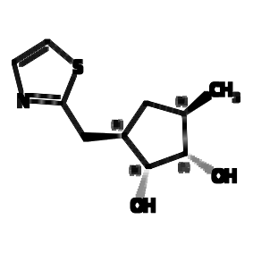 C[C@@H]1C[C@H](Cc2nccs2)[C@@H](O)[C@H]1O